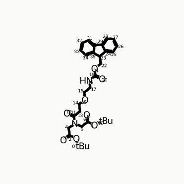 CC(C)(C)OC(=O)CN(CC(=O)OC(C)(C)C)C(=O)CCOCCNC(=O)OCC1c2ccccc2-c2ccccc21